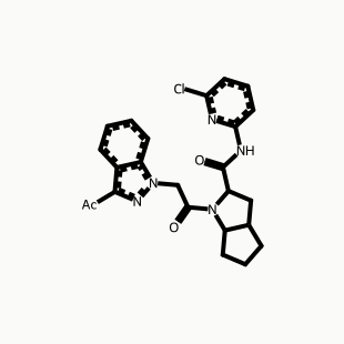 CC(=O)c1nn(CC(=O)N2C(C(=O)Nc3cccc(Cl)n3)CC3CCCC32)c2ccccc12